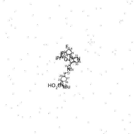 CC(C)N(C(=O)c1cc(F)ccc1-n1cc(C2CN(CCC3CCC(N(C(=O)O)C(C)(C)C)CC3)C2)c2ccncc21)C(C)C